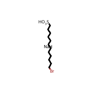 O=S(=O)(O)CCCCCCCCCCCCBr.[NaH]